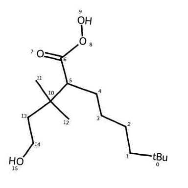 CC(C)(C)CCCCC(C(=O)OO)C(C)(C)CCO